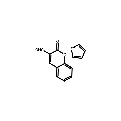 O=Cc1cc2ccccc2oc1=O.c1ccsc1